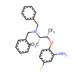 Nc1cc(F)ccc1O[C@H]([C@H](C(=O)O)N(Cc1ccccc1)Cc1ccccc1)C(F)(F)F